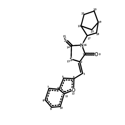 O=C1/C(=C/c2cc3ccccc3o2)SC(=S)N1C1CC2CCC1C2